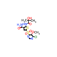 COc1c(Cl)ncnc1S(=O)(=O)c1cc(C(N)=O)c(NC(=O)C(C)(C)O)s1